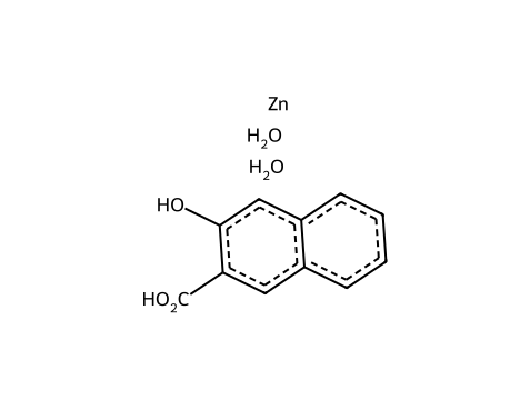 O.O.O=C(O)c1cc2ccccc2cc1O.[Zn]